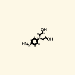 N=Nc1ccc(N(CCO)CCO)cc1